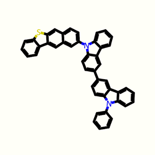 c1ccc(-n2c3ccccc3c3cc(-c4ccc5c(c4)c4ccccc4n5-c4ccc5cc6sc7ccccc7c6cc5c4)ccc32)cc1